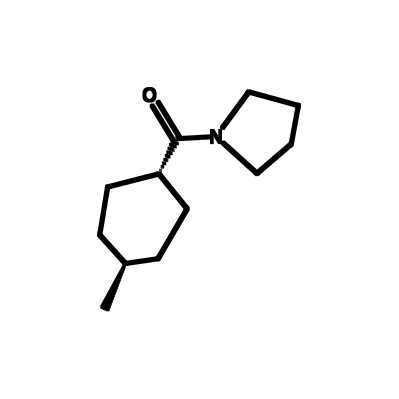 C[C@H]1CC[C@H](C(=O)N2CCCC2)CC1